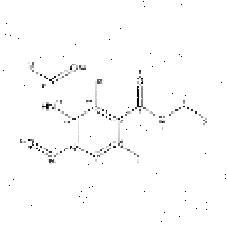 CCOC(=O)c1c(C)cc(C=O)c(NC(C)=O)c1C